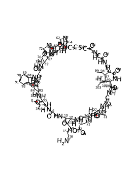 CC[C@H](C)[C@@H]1NC(=O)CNC(=O)[C@H](CCCCN)NC[C@H](CCC(=O)O)NC(=O)[C@H]([C@@H](C)O)NC(=O)CNC(=O)[C@H]2NC(=O)[C@@H](NC(=O)CNC(=O)CSCCNC(=O)[C@H](Cc3cnc[nH]3)NC(=O)[C@H](Cc3cnc[nH]3)NC(=O)CNC(=O)[C@H](Cc3c[nH]c4ccccc34)NC1=O)[C@H](CC)[C@]2(C)CC